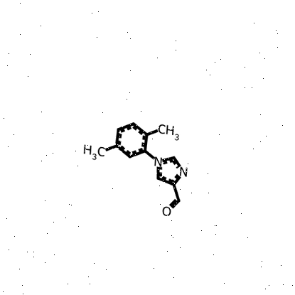 Cc1ccc(C)c(-n2cnc(C=O)c2)c1